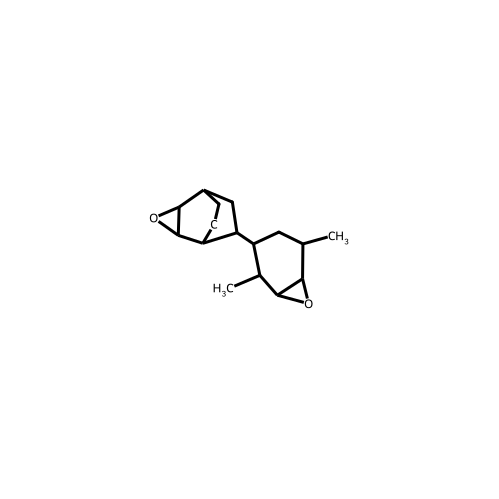 CC1CC(C2CC3CCC2C2OC32)C(C)C2OC12